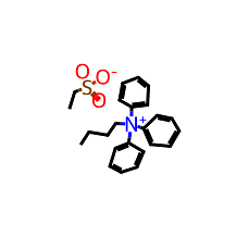 CCCC[N+](c1ccccc1)(c1ccccc1)c1ccccc1.CCS(=O)(=O)[O-]